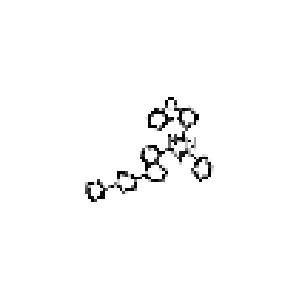 c1ccc(-c2ccc(-c3cccc4c(-c5nc(-c6ccccc6)nc(-c6cccc7oc8ccccc8c67)n5)cccc34)cc2)cc1